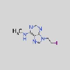 CNc1ncnc2c1ncn2CCI